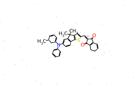 CC1C=CC=C(N(c2ccccc2)c2ccc3c(c2)C(C)(C)c2cc(/C=C4/C(=O)C5=C(CCC=C5)C4=O)sc2-3)C1